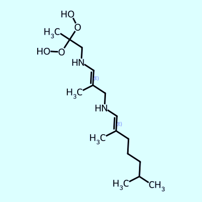 C/C(=C\NC/C(C)=C/NCC(C)(OO)OO)CCCC(C)C